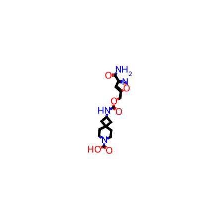 NC(=O)c1cc(COC(=O)NC2CC3(CCN(C(=O)O)CC3)C2)on1